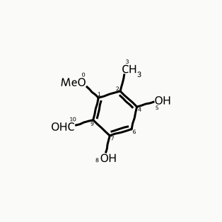 COc1c(C)c(O)cc(O)c1C=O